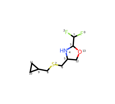 FC(F)C1NC(CSCC2CC2)CO1